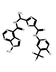 CC(NC(=O)c1ncnc2c1ncn2C)c1ncc(C(=O)Nc2cc(C(F)(F)F)c(Cl)cn2)s1